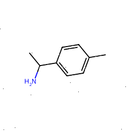 C[C](N)c1ccc(C)cc1